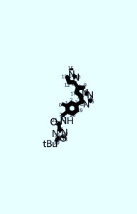 Cc1cc(-c2ncnn3cc(-c4ccn(C)n4)cc23)ccc1CNC(=O)c1noc(C(C)(C)C)n1